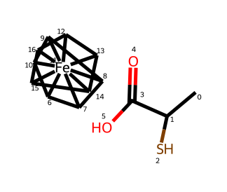 CC(S)C(=O)O.[CH]12[CH]3[CH]4[CH]5[CH]1[Fe]23451678[CH]2[CH]1[CH]6[CH]7[CH]28